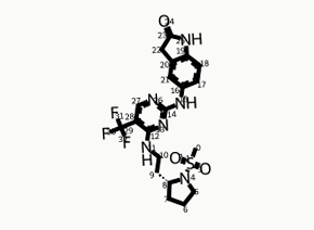 CS(=O)(=O)N1CCC[C@@H]1CCNc1nc(Nc2ccc3c(c2)CC(=O)N3)ncc1C(F)(F)F